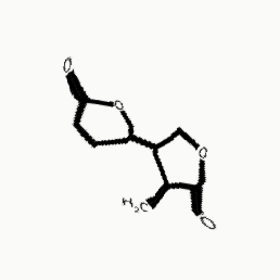 C=C1C(=O)OCC1C1CCC(=O)O1